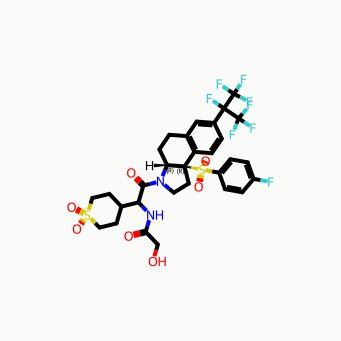 O=C(CO)NC(C(=O)N1CC[C@@]2(S(=O)(=O)c3ccc(F)cc3)c3ccc(C(F)(C(F)(F)F)C(F)(F)F)cc3CC[C@@H]12)C1CCS(=O)(=O)CC1